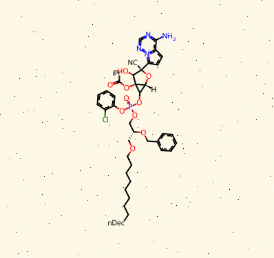 CCCCCCCCCCCCCCCCCCOC[C@H](COP(=O)(Oc1ccccc1Cl)OC1[C@H]2O[C@@](C#N)(c3ccc4c(N)ncnn34)[C@H](O)[C@@]12OC(=O)C(C)C)OCc1ccccc1